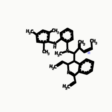 C=CC1=NC(C=C)C(C(C(=C)/C=C\C)N(C)c2ccccc2Nc2c(C)cc(C)cc2C)c2ccccc21